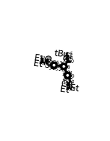 C=C(O[Si](C)(C)C(C)(C)C)c1cc(-c2ccc(SC(=O)N(CC)CC)cc2)cc(-c2ccc(SC(=O)N(CC)CC)cc2)c1